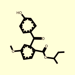 CCC(C)OC(=O)c1ccc(OC)cc1C(=O)c1ccc(O)cc1